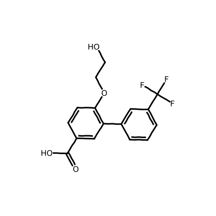 O=C(O)c1ccc(OCCO)c(-c2cccc(C(F)(F)F)c2)c1